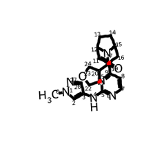 Cn1cc(Nc2nccc(C3=CC4CCC(C3)N4C(=O)C3CCOC3)n2)cn1